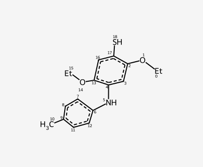 CCOc1cc(Nc2ccc(C)cc2)c(OCC)cc1S